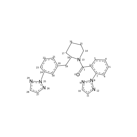 O=C(c1ccccc1-n1nccn1)N1CCCCC1Cc1cccc(-n2nccn2)c1